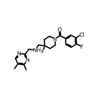 Cc1cnc(CNCC2(F)CCN(C(=O)c3ccc(F)c(Cl)c3)CC2)nc1C